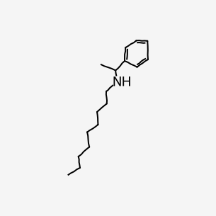 CCCCCCCCCNC(C)c1ccccc1